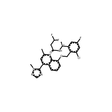 Cc1cc(-c2ncnn2C)c2cccc(OCc3c(Cl)cc(F)cc3[C@H](C)NC(=O)CC(F)F)c2n1